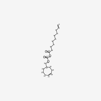 C=CCCCCCCCCC(=O)OC(=O)OCC1CC/C=C\CCC1